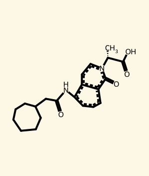 C[C@H](C(=O)O)n1ccc2c(NC(=O)CC3CCCCCC3)cccc2c1=O